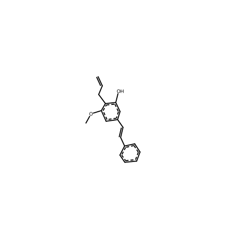 C=CCc1c(O)cc(C=Cc2ccccc2)cc1OC